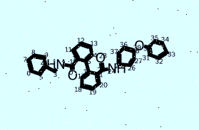 O=C(NCc1ccccc1)c1ccccc1-c1ccccc1C(=O)Nc1ccc(Oc2ccccc2)cc1